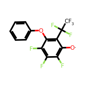 [O]c1c(F)c(F)c(F)c(Oc2ccccc2)c1C(F)(F)C(F)(F)F